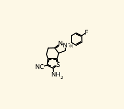 N#Cc1c(N)sc2c1CCC1=NN([C@H]3C=CC(F)=CC3)CC12